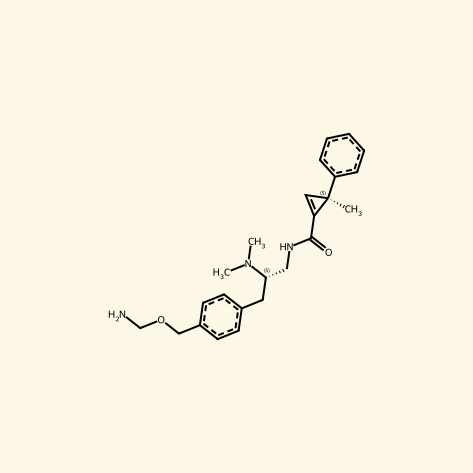 CN(C)[C@H](CNC(=O)C1=C[C@@]1(C)c1ccccc1)Cc1ccc(COCN)cc1